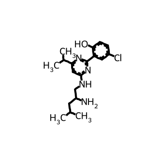 CC(C)CC(N)CNc1cc(C(C)C)nc(-c2cc(Cl)ccc2O)n1